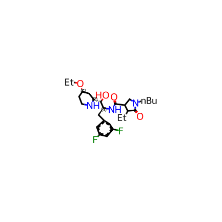 CCCCN1CC(C(=O)N[C@@H](Cc2cc(F)cc(F)c2)C(O)[C@H]2C[C@@H](OCC)CCN2)C(CC)C1=O